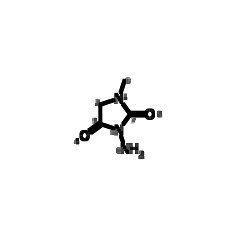 CN1CC(=O)N(N)C1=O